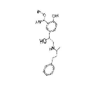 CC(CCc1ccccc1)NCC(O)c1ccc(O)c(C(=N)OC(C)C)c1